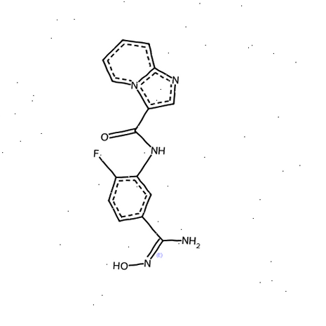 N/C(=N/O)c1ccc(F)c(NC(=O)c2cnc3ccccn23)c1